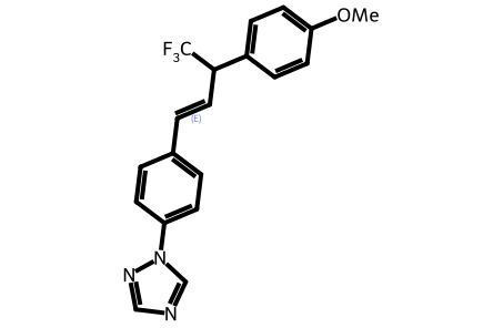 COc1ccc(C(/C=C/c2ccc(-n3cncn3)cc2)C(F)(F)F)cc1